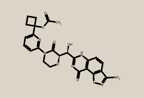 CC(=O)OC1(c2cccc(N3CCO[C@H]([C@@H](O)c4nc(=O)c5c(ccc6c(N)nsc65)[nH]4)C3=O)n2)CCC1